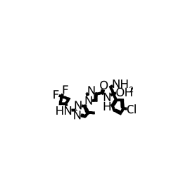 Cc1cnc(NC2CC(F)(F)C2)nc1-n1cnc(C(=O)NC(O)(CN)c2cccc(Cl)c2)c1